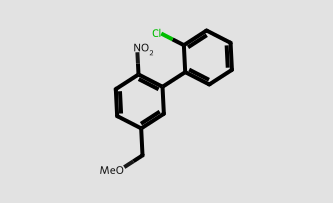 COCc1ccc([N+](=O)[O-])c(-c2ccccc2Cl)c1